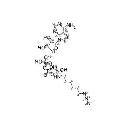 [N-]=[N+]=NCCCCCCNP(=O)(O)OP(=O)(O)OP(=O)(O)OC[C@H]1OC(n2cnc3c(N)ncnc32)[C@H](O)[C@@H]1O